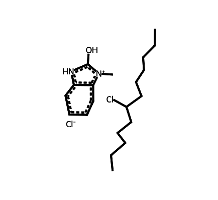 CCCCCCC(Cl)CCCCC.C[n+]1c(O)[nH]c2ccccc21.[Cl-]